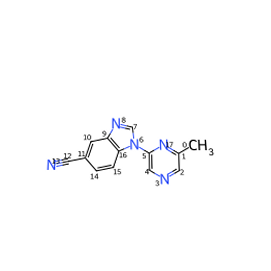 Cc1cncc(-n2cnc3cc(C#N)ccc32)n1